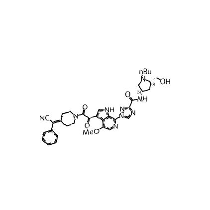 CCCCN1C[C@@H](NC(=O)c2ncn(-c3ncc(OC)c4c(C(=O)C(=O)N5CCC(=C(C#N)c6ccccc6)CC5)c[nH]c34)n2)C[C@H]1CO